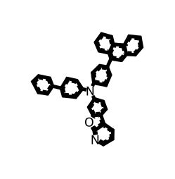 c1ccc(-c2ccc(N(c3ccc(-c4cc5ccccc5c5ccccc45)cc3)c3ccc4c(c3)oc3ncccc34)cc2)cc1